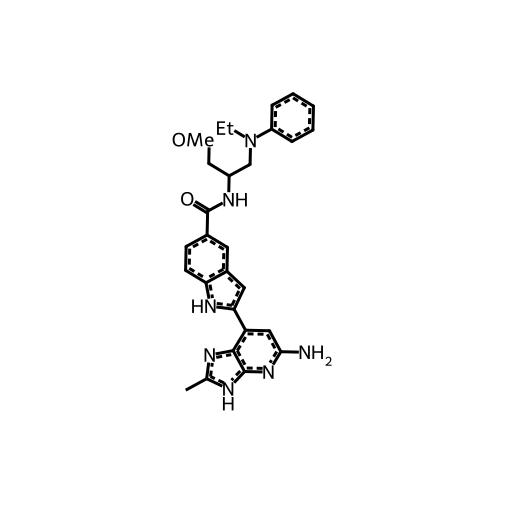 CCN(CC(COC)NC(=O)c1ccc2[nH]c(-c3cc(N)nc4[nH]c(C)nc34)cc2c1)c1ccccc1